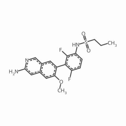 CCCS(=O)(=O)Nc1ccc(F)c(-c2cc3cnc(N)cc3cc2OC)c1F